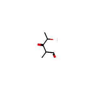 CC(O)C(=O)C(C)C=O